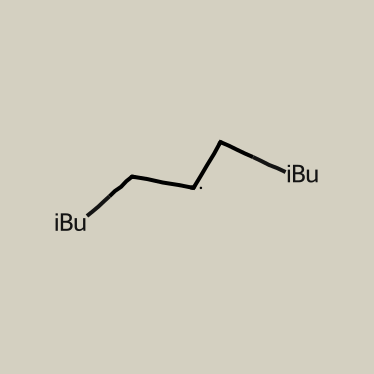 CCC(C)C[CH]CC(C)CC